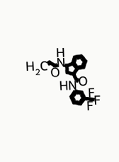 C=CC(=O)NC1CC(C(=O)Nc2cccc(C(F)(F)F)c2)c2ccccc21